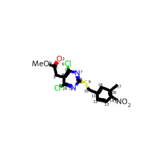 COC(=O)Cc1c(Cl)nc(SCc2ccc([N+](=O)[O-])c(C)c2)nc1Cl